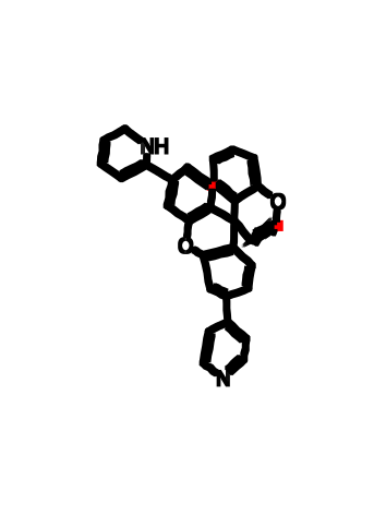 C1=CCNC(c2ccc3c(c2)Oc2cc(-c4ccncc4)ccc2C32c3ccccc3Oc3ccccc32)=C1